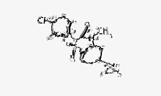 CNc1ccc2c(c1)N(C)C(=O)N(c1ccc(Cl)cc1)S2(=O)=O